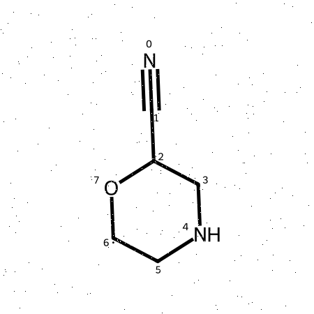 N#CC1CNC[CH]O1